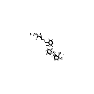 CNC(=O)/C=N/OCc1ccccc1Oc1ncnc(Oc2cccc(Cl)c2C)c1F